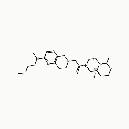 COCCN(C)c1ccc2c(n1)CCN(CC(=O)N1CCN3C(C)CCC[C@H]3C1)C2